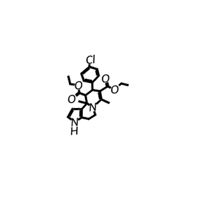 CCOC(=O)C1=C(C)N2CCc3[nH]ccc3C2(C)C(C(=O)OCC)C1c1ccc(Cl)cc1